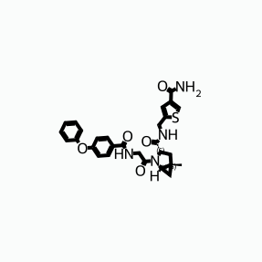 C[C@@]12C[C@@H]1N(C(=O)CNC(=O)c1ccc(Oc3ccccc3)cc1)[C@H](C(=O)NCc1cc(C(N)=O)cs1)C2